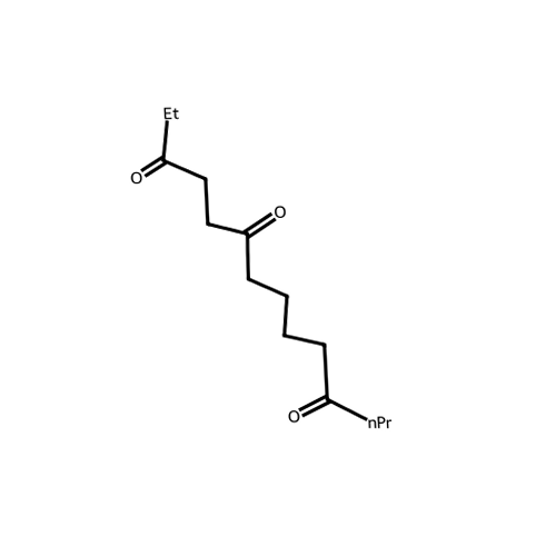 CCCC(=O)CCCCC(=O)CCC(=O)CC